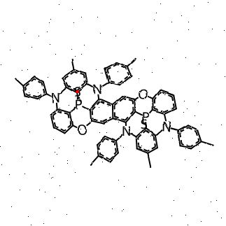 Cc1ccc(N2c3cccc4c3P3(=S)c5c2cc(C)cc5N(c2ccc(C)cc2)c2c3c(cc3c5c6c(cc23)Oc2cccc3c2P6(=S)c2c(cc(C)cc2N5c2ccc(C)cc2)N3c2ccc(C)cc2)O4)cc1